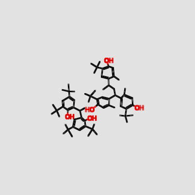 CC(c1cc(C(C)(C)C)cc(C(C)(C)C)c1O)c1cc(C(C)(C)C)cc(C(C)(C)C)c1O.Cc1cc(O)c(C(C)(C)C)cc1C(C)CC(c1cc(C(C)(C)C)c(O)cc1C)c1cc(C(C)(C)C)c(O)cc1C